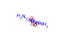 NCCOc1cccc2c1Nc1nc(=O)n([C@H]3CC[C@H](CCN)CC3)cc1O2